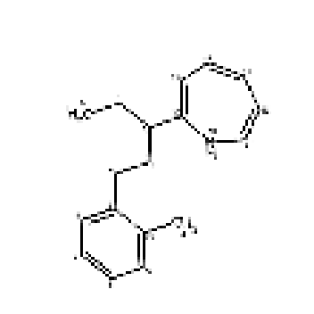 CCC(CCc1ccccc1C)C1=CC=CC=CN1